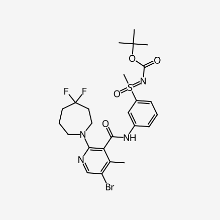 Cc1c(Br)cnc(N2CCCC(F)(F)CC2)c1C(=O)Nc1cccc(S(C)(=O)=NC(=O)OC(C)(C)C)c1